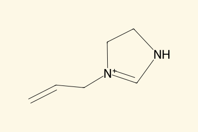 C=CC[N+]1=CNCC1